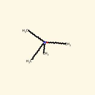 CCCCCCCCCCCCCCCCCC[N+](CCCCCCCCC)(CCCCCCCCCCCCCCCCCC)CCCCCCCCCCCCCCCCCC